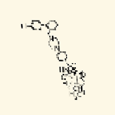 CC[C@H]1CC(=O)[C@@](C)(CS(=O)(=O)NC(=O)c2ccc(N3CCN(Cc4ccccc4-c4ccc(Cl)cc4)CC3)cc2)C1(C)C